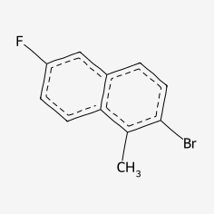 Cc1c(Br)ccc2cc(F)ccc12